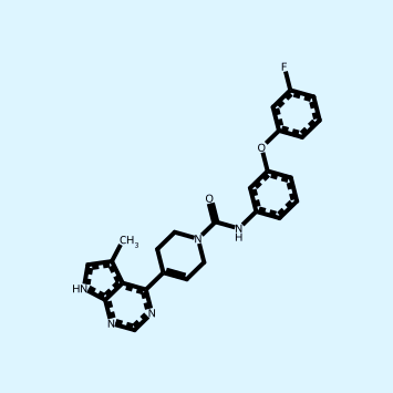 Cc1c[nH]c2ncnc(C3=CCN(C(=O)Nc4cccc(Oc5cccc(F)c5)c4)CC3)c12